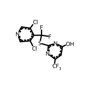 Oc1cc(C(F)(F)F)nc(SC(F)(F)c2c(Cl)cncc2Cl)n1